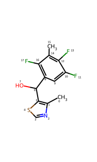 Cc1ncsc1C(O)c1cc(F)c(F)c(C)c1F